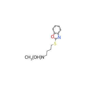 CN(O)CCCCSc1nc2ccccc2o1